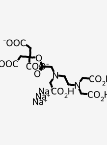 O=C([O-])CC(CC(=O)[O-])(OC(=O)CN(CCN(CC(=O)O)CC(=O)O)CC(=O)O)C(=O)[O-].[Na+].[Na+].[Na+]